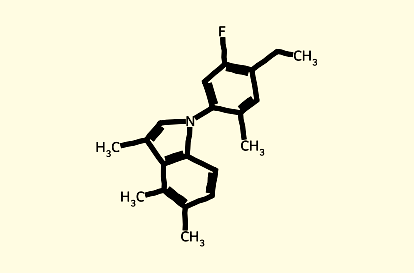 CCc1cc(C)c(-n2cc(C)c3c(C)c(C)ccc32)cc1F